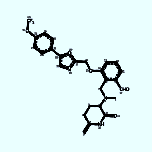 C=C1CCC(N(C)Cc2c(C=O)cccc2OCc2ncc(-c3ccc(OC(F)(F)F)cc3)o2)C(=O)N1